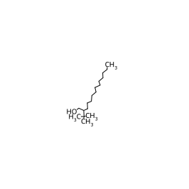 CCCCCCCCCCCCC(CO)C(C)(C)C